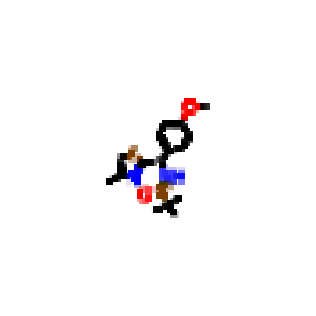 COc1ccc(C(N[S@+]([O-])C(C)(C)C)c2nc(C)cs2)cc1